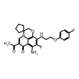 CC(=O)c1cn2c3c(c(NCCOc4ccc(F)cc4)c(F)c(N)c3c1=O)OCC21CCCC1